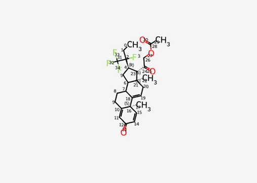 CCC(F)([C@@H]1CC2C3CCC4=CC(=O)C=C[C@]4(C)C3=CC[C@]2(C)[C@H]1C(=O)COC(C)=O)C(F)(F)F